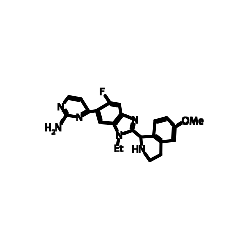 CCn1c(C2NCCc3cc(OC)ccc32)nc2cc(F)c(-c3ccnc(N)n3)cc21